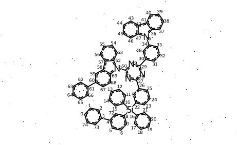 c1ccc(-c2cccc([Si](c3ccccc3)(c3ccccc3)c3cccc(-c4nc(-c5cccc(-n6c7ccccc7c7ccccc76)c5)nc(-n5c6ccccc6c6cc(-c7ccccc7)ccc65)n4)c3)c2)cc1